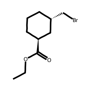 CCOC(=O)[C@H]1CCC[C@H](CBr)C1